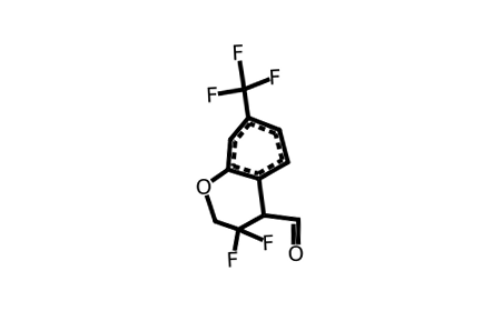 O=CC1c2ccc(C(F)(F)F)cc2OCC1(F)F